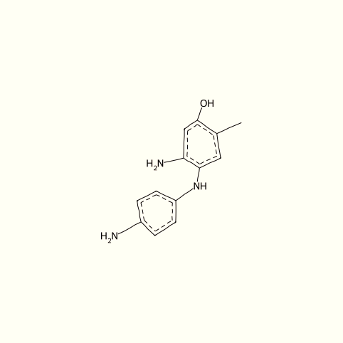 Cc1cc(Nc2ccc(N)cc2)c(N)cc1O